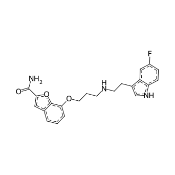 NC(=O)c1cc2cccc(OCCCNCCc3c[nH]c4ccc(F)cc34)c2o1